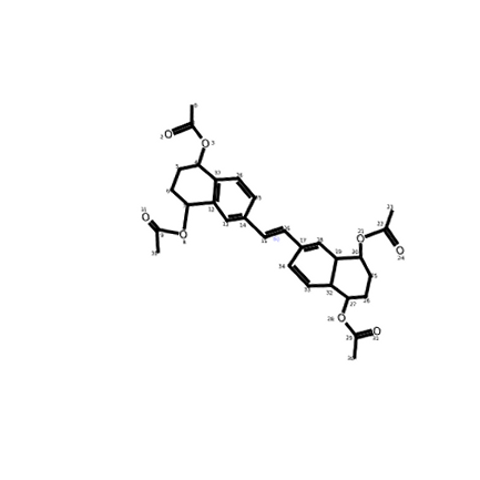 CC(=O)OC1CCC(OC(C)=O)c2cc(/C=C/C3=CC4C(OC(C)=O)CCC(OC(C)=O)C4C=C3)ccc21